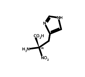 N[C@@](Cc1c[nH]cn1)(C(=O)O)[N+](=O)[O-]